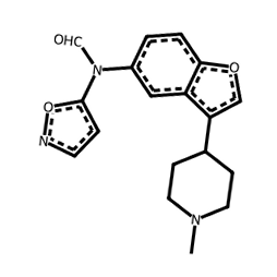 CN1CCC(c2coc3ccc(N(C=O)c4ccno4)cc23)CC1